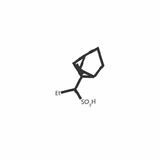 CCC(C1=CC2CCC1C2)S(=O)(=O)O